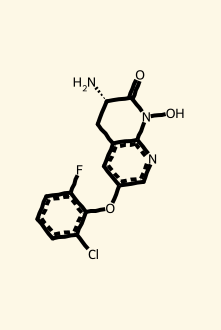 N[C@H]1Cc2cc(Oc3c(F)cccc3Cl)cnc2N(O)C1=O